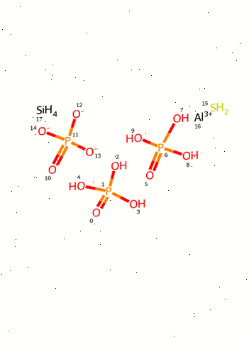 O=P(O)(O)O.O=P(O)(O)O.O=P([O-])([O-])[O-].S.[Al+3].[SiH4]